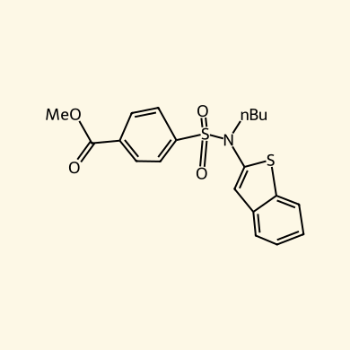 CCCCN(c1cc2ccccc2s1)S(=O)(=O)c1ccc(C(=O)OC)cc1